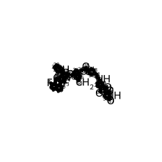 C#Cc1c(F)ccc2cccc(-c3ncc4c(N5CC6CCC(C5)N6)nc(OC[C@@]56CC[C@@H](COC(=O)N7CCC(CCNc8ccc9c(c8)C(=O)N(C8CCC(=O)NC8=O)C9=O)CC7)N5CC(=C)C6)nc4c3F)c12